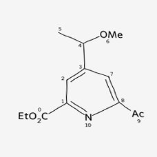 CCOC(=O)c1cc(C(C)OC)cc(C(C)=O)n1